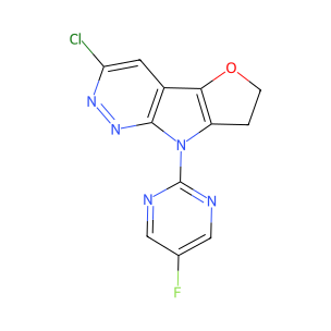 Fc1cnc(-n2c3c(c4cc(Cl)nnc42)OCC3)nc1